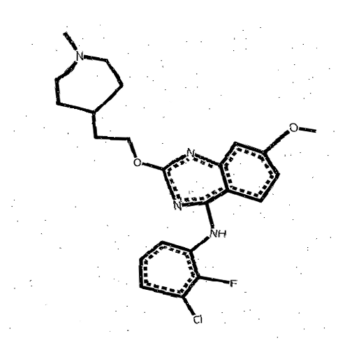 COc1ccc2c(Nc3cccc(Cl)c3F)nc(OCCC3CCN(C)CC3)nc2c1